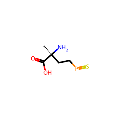 C[C@](N)(CCP=S)C(=O)O